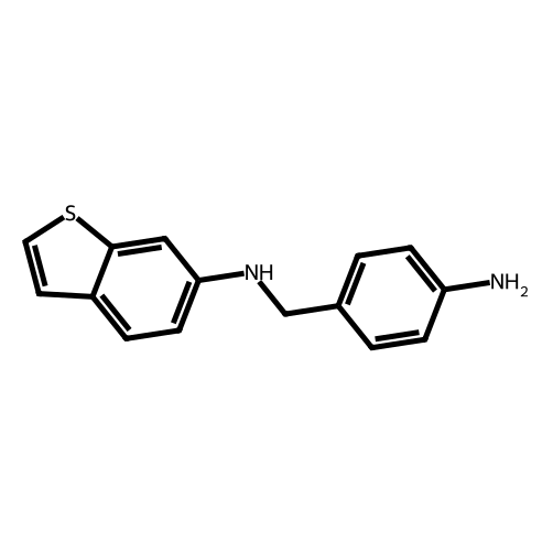 Nc1ccc(CNc2ccc3ccsc3c2)cc1